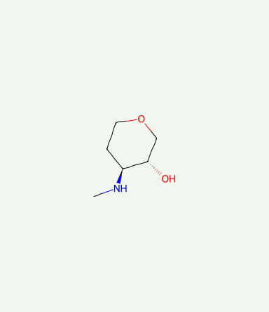 CN[C@H]1CCOC[C@@H]1O